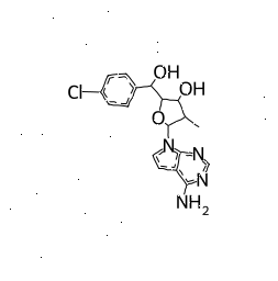 CC1C(O)C(C(O)c2ccc(Cl)cc2)OC1n1ccc2c(N)ncnc21